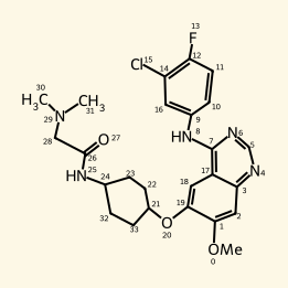 COc1cc2ncnc(Nc3ccc(F)c(Cl)c3)c2cc1OC1CCC(NC(=O)CN(C)C)CC1